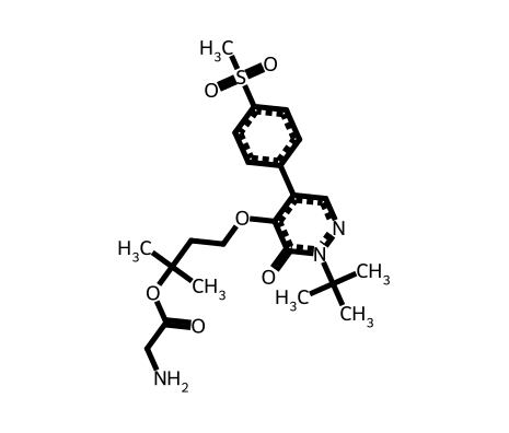 CC(C)(CCOc1c(-c2ccc(S(C)(=O)=O)cc2)cnn(C(C)(C)C)c1=O)OC(=O)CN